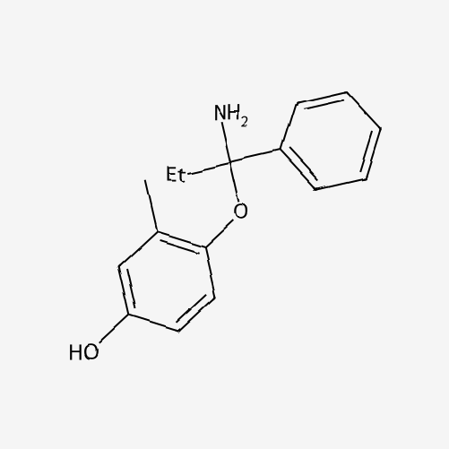 CCC(N)(Oc1ccc(O)cc1C)c1ccccc1